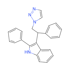 c1ccc(-c2[nH]c3ccccc3c2C(Cn2ccnn2)c2ccccc2)cc1